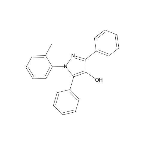 Cc1ccccc1-n1nc(-c2ccccc2)c(O)c1-c1ccccc1